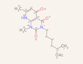 CC(=O)OC(C)CCCCn1c(=O)c2c(=O)cc(C)[nH]c2n(C)c1=O